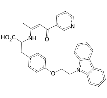 C/C(=C/C(=O)c1cccnc1)NC(Cc1ccc(OCCn2c3ccccc3c3ccccc32)cc1)C(=O)O